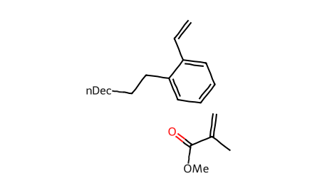 C=C(C)C(=O)OC.C=Cc1ccccc1CCCCCCCCCCCC